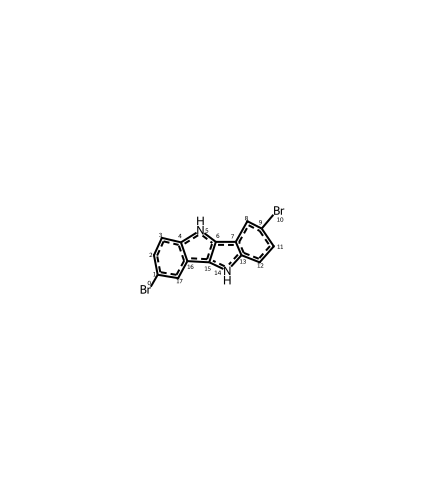 Brc1ccc2[nH]c3c4cc(Br)ccc4[nH]c3c2c1